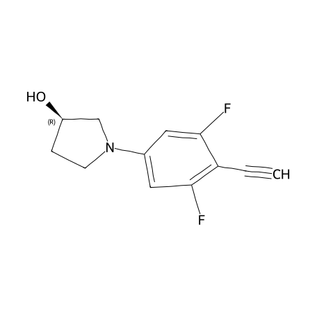 C#Cc1c(F)cc(N2CC[C@@H](O)C2)cc1F